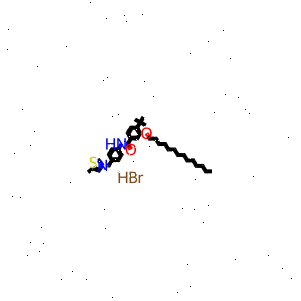 Br.CCCCCCCCCCCCCCOc1cc(C(=O)Nc2ccc(CN3C=C(C)SC3)cc2)ccc1C(C)(C)C